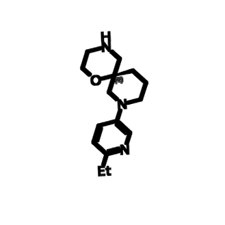 CCc1ccc(N2CCC[C@@]3(CNCCO3)C2)cn1